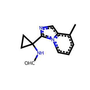 Cc1cccn2c(C3(NC=O)CC3)ncc12